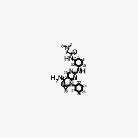 CN(C)CC(=O)Nc1cccc(Nc2ncc(C(N)=O)c(N(c3ccccc3)C3CC3)n2)c1